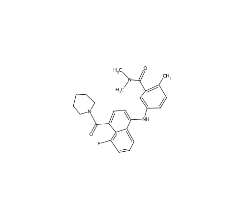 Cc1ccc(Nc2ccc(C(=O)N3CCCCC3)c3c(F)cccc23)cc1C(=O)N(C)C